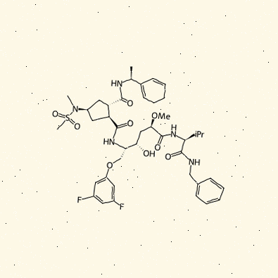 CO[C@H](C[C@H](O)[C@H](COc1cc(F)cc(F)c1)NC(=O)[C@H]1C[C@@H](N(C)S(C)(=O)=O)C[C@@H]1C(=O)N[C@@H](C)C1=CCCC=C1)C(=O)N[C@H](C(=O)NCc1ccccc1)C(C)C